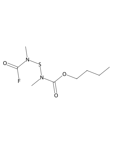 CCCCOC(=O)N(C)SN(C)C(=O)F